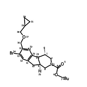 C[C@@H]1CN(C(=O)OC(C)(C)C)C[C@H]2Cc3cc(Br)c(COCC4CC4)nc3N21